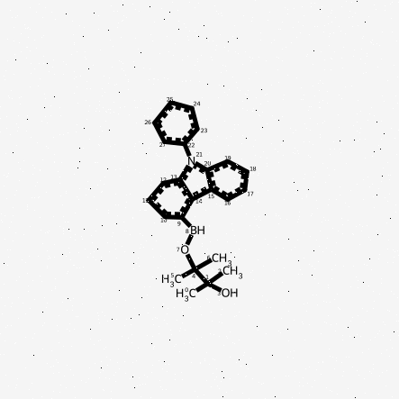 CC(C)(O)C(C)(C)OBc1cccc2c1c1ccccc1n2-c1ccccc1